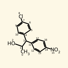 CC(O)C(c1ccc(Cl)cc1)c1ccc([N+](=O)[O-])cc1